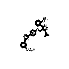 O=C(O)c1cccc(-c2nnc(C34CCC(OCc5c(-c6ccccc6OC(F)(F)F)noc5C5CC5)(CC3)CC4)s2)c1